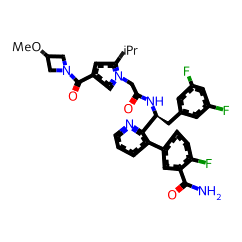 COC1CN(C(=O)c2cc(C(C)C)n(CC(=O)N[C@@H](Cc3cc(F)cc(F)c3)c3ncccc3-c3ccc(F)c(C(N)=O)c3)c2)C1